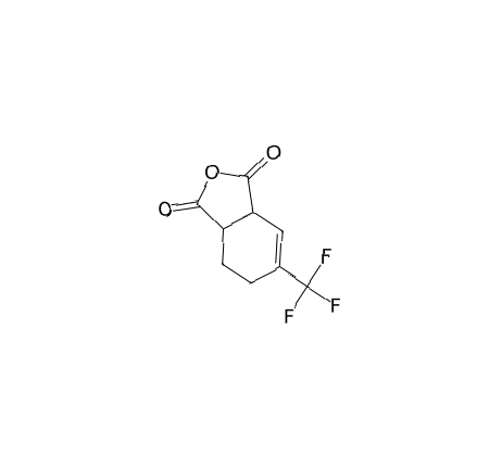 O=C1OC(=O)C2CCC(C(F)(F)F)=CC12